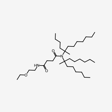 CCCCCCCC(C)(CCCC)N(C(=O)CCC(=O)NCCOCC)C(C)(CCCCCC)CCCCCC